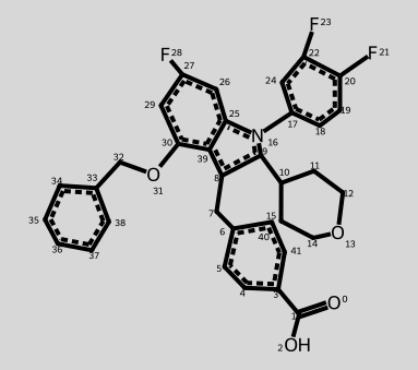 O=C(O)c1ccc(Cc2c(C3CCOCC3)n(-c3ccc(F)c(F)c3)c3cc(F)cc(OCc4ccccc4)c23)cc1